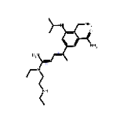 CCNCCN(CC)/C(N)=C/C=C(\C)c1cc(NC(C)C)c(CN)c(C(N)=O)c1